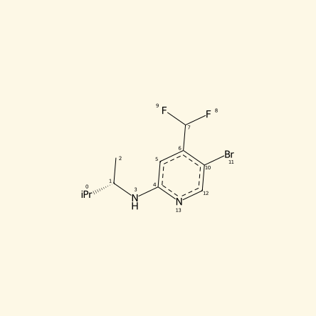 CC(C)[C@H](C)Nc1cc(C(F)F)c(Br)cn1